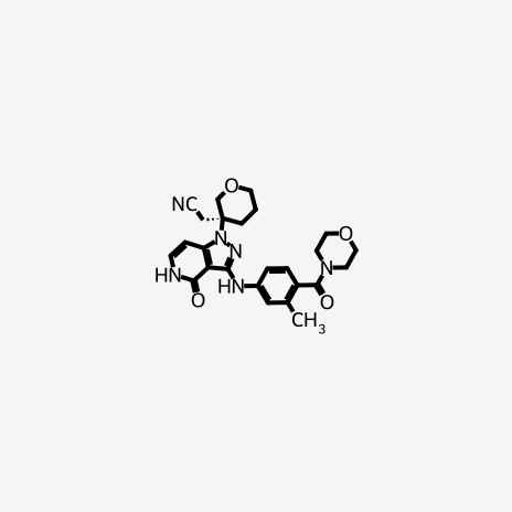 Cc1cc(Nc2nn([C@]3(CC#N)CCCOC3)c3cc[nH]c(=O)c23)ccc1C(=O)N1CCOCC1